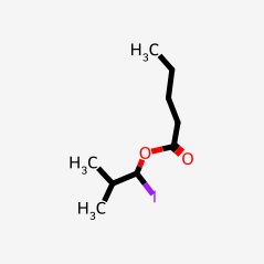 CCCCC(=O)OC(I)C(C)C